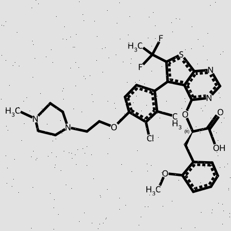 COc1ccccc1C[C@@H](Oc1ncnc2sc(C(C)(F)F)c(-c3ccc(OCCN4CCN(C)CC4)c(Cl)c3C)c12)C(=O)O